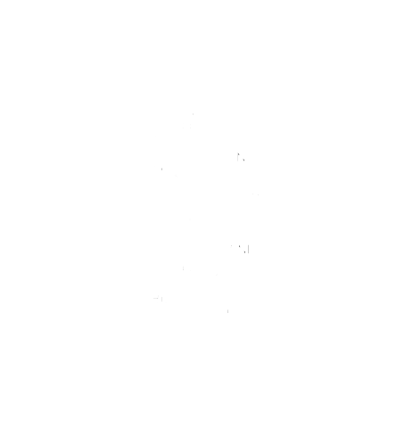 CC(C)(C)OC(=O)Nc1cnc2c(c1)OCO2